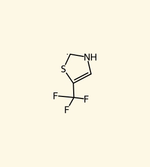 FC(F)(F)C1=CN[CH]S1